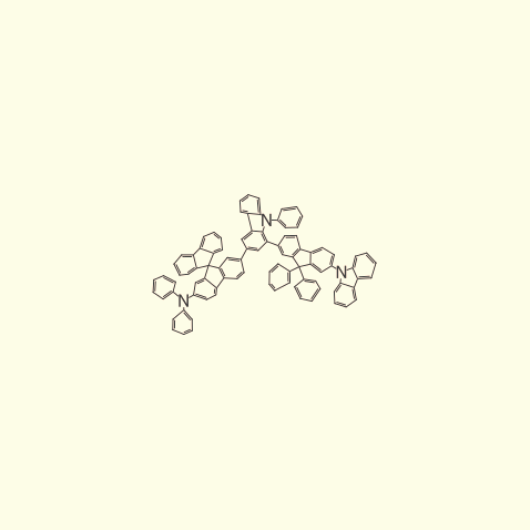 c1ccc(N(c2ccccc2)c2ccc3c(c2)C2(c4ccccc4-c4ccccc42)c2cc(-c4cc(-c5ccc6c(c5)C(c5ccccc5)(c5ccccc5)c5cc(-n7c8ccccc8c8ccccc87)ccc5-6)c5c(c4)c4ccccc4n5-c4ccccc4)ccc2-3)cc1